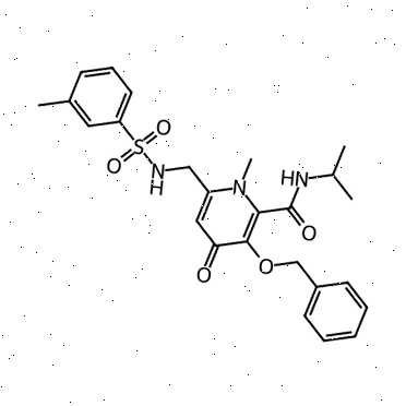 Cc1cccc(S(=O)(=O)NCc2cc(=O)c(OCc3ccccc3)c(C(=O)NC(C)C)n2C)c1